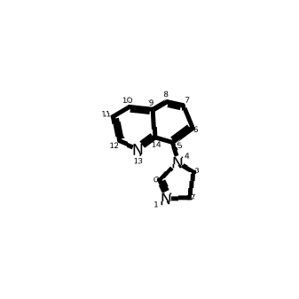 C1=NCCN1c1cccc2cccnc12